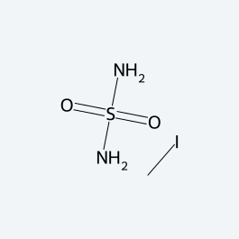 CI.NS(N)(=O)=O